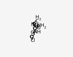 C=Cc1cnn(-c2ccc(NC(=O)Cc3cccc(Cl)c3)cc2S(N)(=O)=O)c1